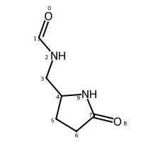 O=[C]NCC1CCC(=O)N1